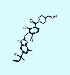 C=CC(F)(F)c1cc(C)c2nc(Cc3c(Cl)ccc(C(=O)N4CCC(CO)CC4)c3Cl)n(C)c2c1